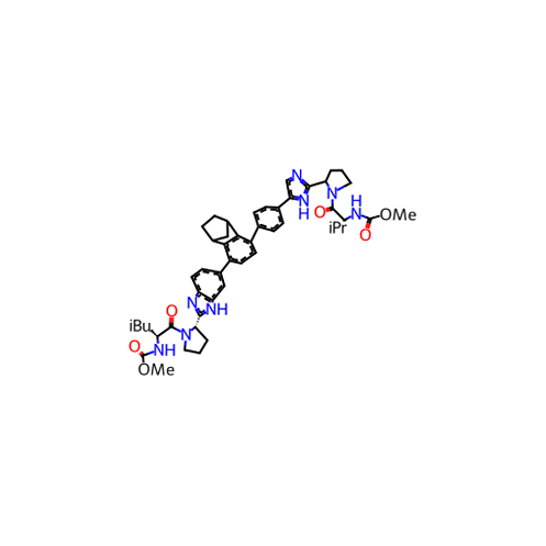 CCC(C)[C@H](NC(=O)OC)C(=O)N1CCC[C@H]1c1nc2ccc(-c3ccc(-c4ccc(-c5cnc(C6CCCN6C(=O)[C@@H](NC(=O)OC)C(C)C)[nH]5)cc4)c4c3C3CCC4C3)cc2[nH]1